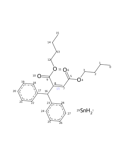 CCCCOC(=O)/C=C(\C(=O)OCCCC)C(c1ccccc1)c1ccccc1.[SnH2]